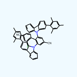 Cc1cc(C)c(-c2ccc3c4ccccc4n(-c4cc(C#N)cc(-n5c6ccccc6c6ccc(-c7c(C)cc(C)cc7C)cc65)c4-c4ccc(C#N)cc4F)c3c2)c(C)c1